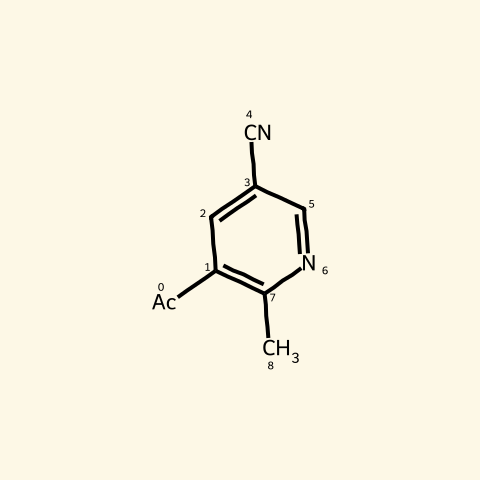 CC(=O)c1cc(C#N)cnc1C